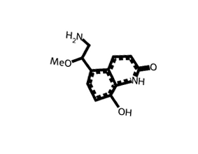 COC(CN)c1ccc(O)c2[nH]c(=O)ccc12